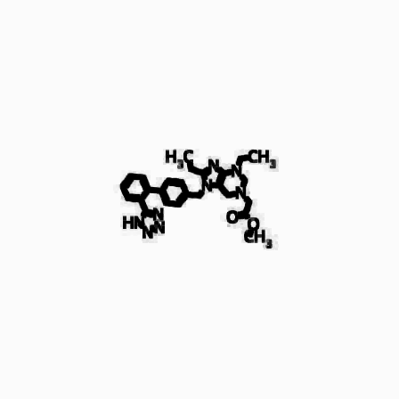 CCc1nc2c(n1Cc1ccc(-c3ccccc3-c3nnn[nH]3)cc1)CN(CC(=O)OC)CN2CC